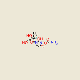 C[C@@]1(F)[C@H](O)[C@@H](CO)O[C@H]1N1C=CC(=O)N(COC(=O)CN)C1O